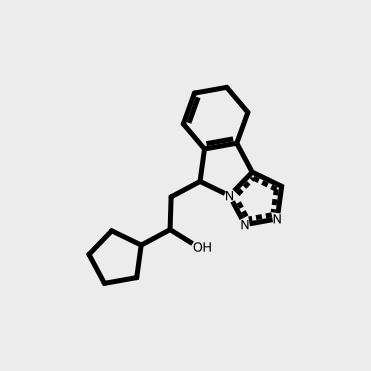 OC(CC1C2=C(CCC=C2)c2cnnn21)C1CCCC1